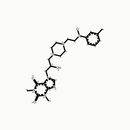 Cc1cccc([S+]([O-])CCN2CCN(CC(O)Cn3cnc4c3c(=O)n(C)c(=O)n4C)CC2)c1